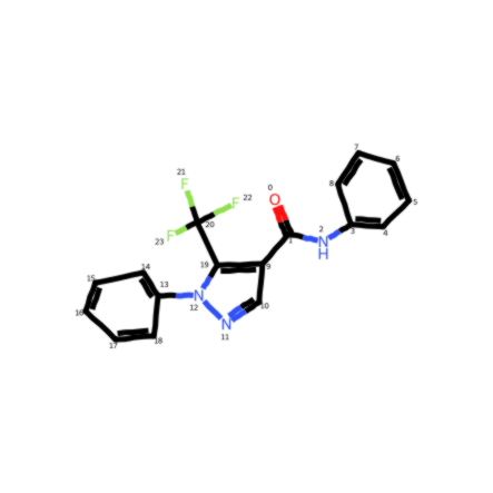 O=C(Nc1ccccc1)c1cnn(-c2ccccc2)c1C(F)(F)F